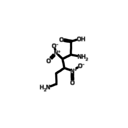 NCCC(C(C(N)C(=O)O)[N+](=O)[O-])[N+](=O)[O-]